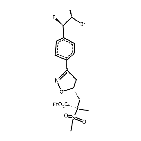 CCOC(=O)[C@@](C)(C[C@H]1CC(c2ccc([C@@H](F)[C@@H](C)Br)cc2)=NO1)S(C)(=O)=O